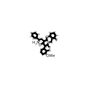 COc1cccc(-c2c(C)n(Cc3c(F)cccc3Cl)c(C)c(CC(N)c3ccccc3)c2=O)c1F